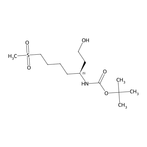 CC(C)(C)OC(=O)N[C@H](CCO)CCCCS(C)(=O)=O